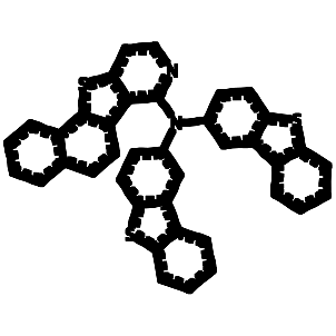 c1ccc2c(c1)ccc1c2sc2ccnc(N(c3ccc4sc5ccccc5c4c3)c3ccc4sc5ccccc5c4c3)c21